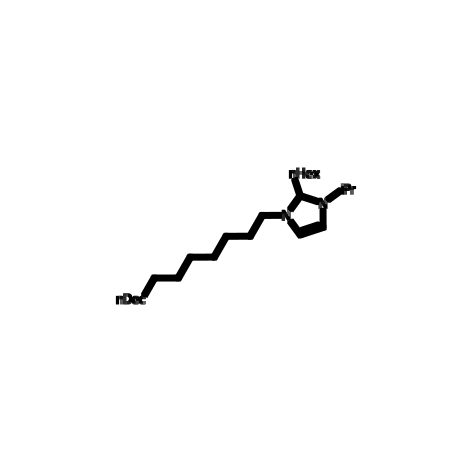 CCCCCCCCCCCCCCCCCN1C=CN(C(C)C)C1CCCCCC